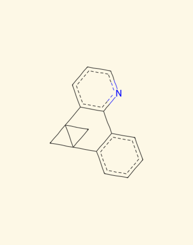 c1ccc2c(c1)-c1ncccc1C13CC21C3